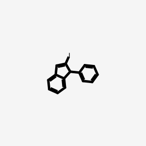 IC1=Cc2ccccc2C1c1ccccc1